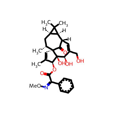 CO/N=C(\C(=O)O[C@H]1C(C)=C[C@]23C(=O)[C@@H](C=C(CO)[C@@H](O)[C@]12O)[C@H]1[C@@H](C[C@H]3C)C1(C)C)c1ccccc1